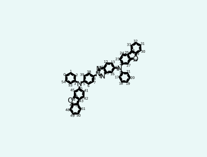 c1ccc(N(c2ccc(-n3nc4ccc(N(c5ccccc5)c5ccc6c(c5)oc5ccccc56)cc4n3)cc2)c2ccc3c(c2)oc2ccccc23)cc1